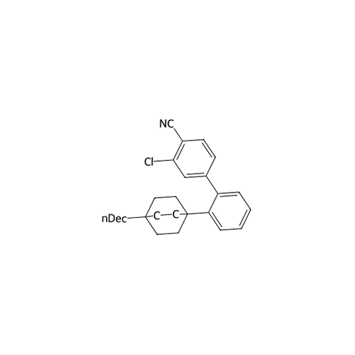 CCCCCCCCCCC12CCC(c3ccccc3-c3ccc(C#N)c(Cl)c3)(CC1)CC2